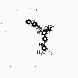 CC1(C)CCC(NCc2ccc(-c3cccc(C(=O)NCCc4ccc(-c5ccccc5)cc4)c3)cc2)CC1.O=C(O)C(F)(F)F